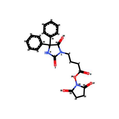 O=C(CCCN1C(=O)NC(c2ccccc2)(c2ccccc2)C1=O)ON1C(=O)CCC1=O